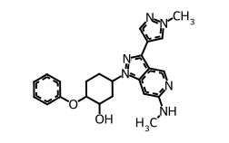 CNc1cc2c(cn1)c(-c1cnn(C)c1)nn2C1CCC(Oc2ccccc2)C(O)C1